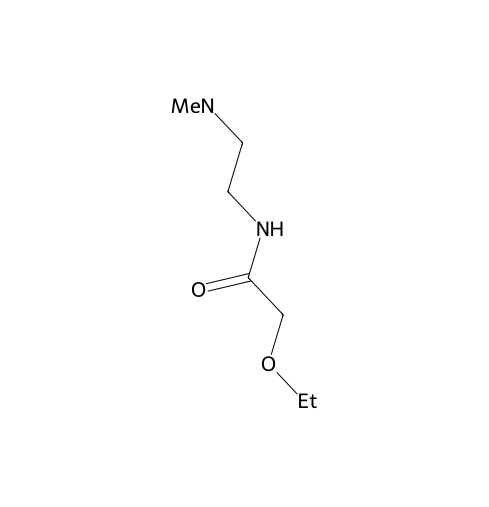 [CH2]COCC(=O)NCCNC